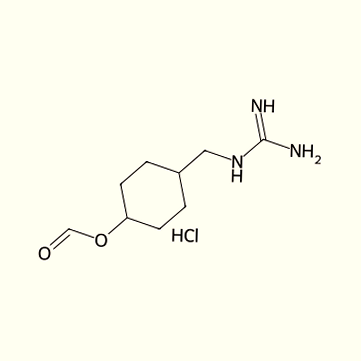 Cl.N=C(N)NCC1CCC(OC=O)CC1